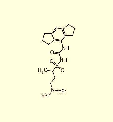 CCCN(CCC)CCC(C)S(=O)(=O)NC(=O)Nc1c2c(cc3c1CCC3)CCC2